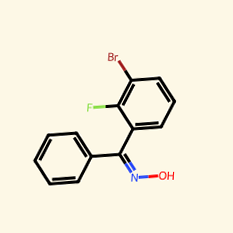 O/N=C(/c1ccccc1)c1cccc(Br)c1F